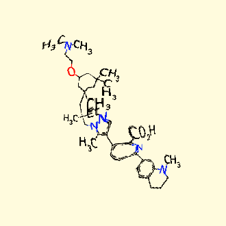 CCC(C)(Cn1ncc(-c2ccc(-c3ccc4c(c3)N(C)CCC4)nc2C(=O)O)c1C)CC1(C)CC(OCCN(C)C)CC(C)(C)C1